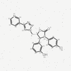 O=C1O[C@@H](Cn2nnc(-c3cccnc3)n2)[C@H](c2cccc(O)c2)N1c1ccc(Cl)cc1